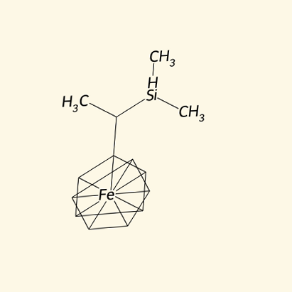 CC([SiH](C)C)[C]12[CH]3[CH]4[CH]5[CH]1[Fe]45321678[CH]2[CH]1[CH]6[CH]7[CH]28